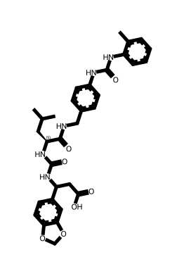 Cc1ccccc1NC(=O)Nc1ccc(CNC(=O)[C@H](CC(C)C)NC(=O)NC(CC(=O)O)c2ccc3c(c2)OCO3)cc1